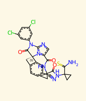 N#Cc1ccc2c(c1)[C@@]1(C2)C(=O)N(c2cc(Cl)cc(Cl)c2)c2ncc(C(=O)NC3(C(=O)NC4(C(N)=S)CC4)CC3)n21